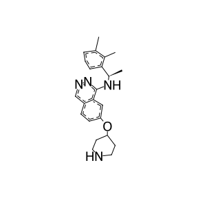 Cc1cccc([C@@H](C)Nc2nncc3ccc(OC4CCNCC4)cc23)c1C